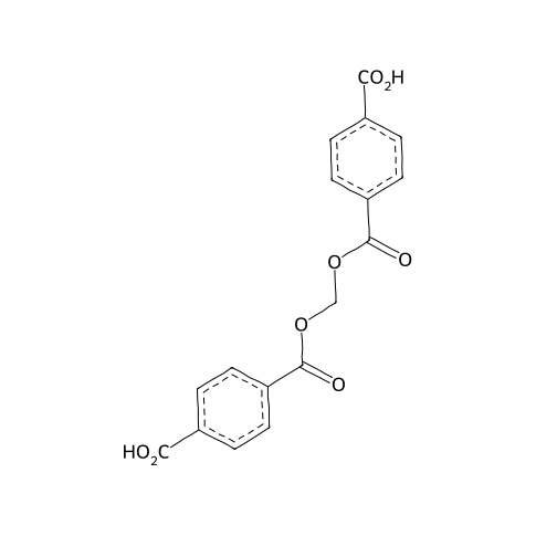 O=C(O)c1ccc(C(=O)OCOC(=O)c2ccc(C(=O)O)cc2)cc1